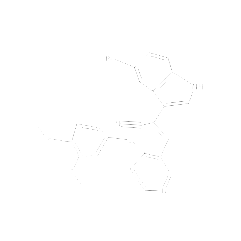 COc1ccc(Sc2ccncc2/C=C(\C#N)c2c[nH]c3ccc(Br)cc23)cc1OC